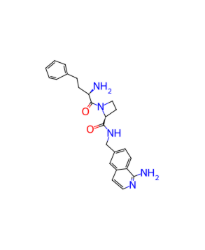 Nc1nccc2cc(CNC(=O)[C@@H]3CCN3C(=O)[C@H](N)CCc3ccccc3)ccc12